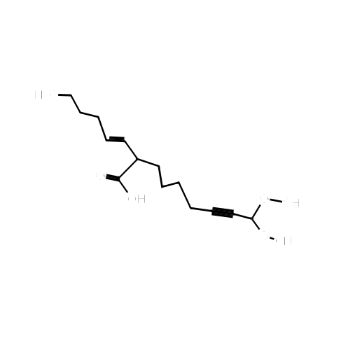 CCCCC=CC(CCCCC#CC(OC)OC)C(=O)O